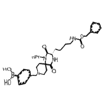 CCCN1C(=O)[C@H](CCCCNC(=O)OCc2ccccc2)NC(=O)C12CCN(Cc1ccc(B(O)O)cc1)CC2